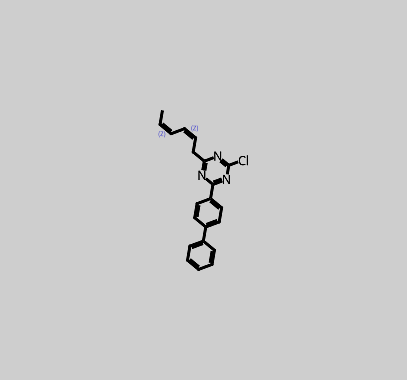 C/C=C\C=C/Cc1nc(Cl)nc(-c2ccc(-c3ccccc3)cc2)n1